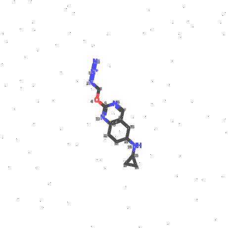 [N-]=[N+]=NCOc1ncc2c(n1)CCC(NC1CC1)C2